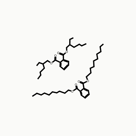 CCCCC(CC)COC(=O)c1ccccc1C(=O)OCC(CC)CCCC.CCCCCCCCCCOC(=O)c1ccccc1C(=O)OCCCCCCCCCC